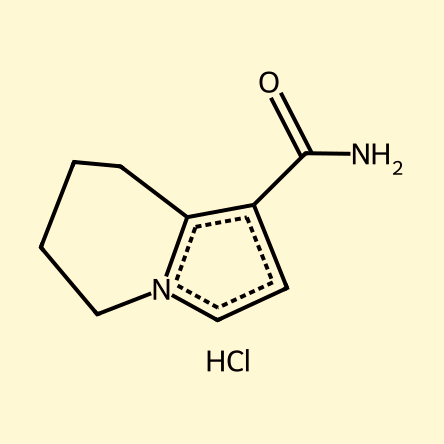 Cl.NC(=O)c1ccn2c1CCCC2